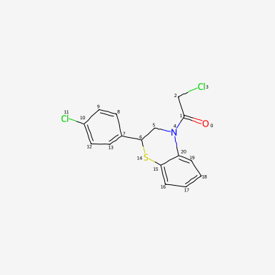 O=C(CCl)N1CC(c2ccc(Cl)cc2)Sc2ccccc21